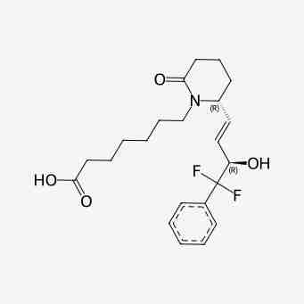 O=C(O)CCCCCCN1C(=O)CCC[C@@H]1C=C[C@@H](O)C(F)(F)c1ccccc1